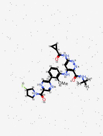 [2H]C([2H])([2H])NC(=O)c1nnc(NC(=O)C2CC2)cc1Nc1cccc(-c2cnc(C(=O)N3CC[C@@H](F)C3)cn2)c1OC